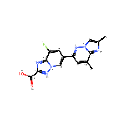 Cc1cn2nc(-c3cc(F)c4nc(C(=O)O)nn4c3)cc(C)c2n1